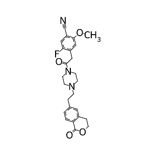 COc1cc(CC(=O)N2CCN(CCc3ccc4c(c3)CCOC4=O)CC2)c(F)cc1C#N